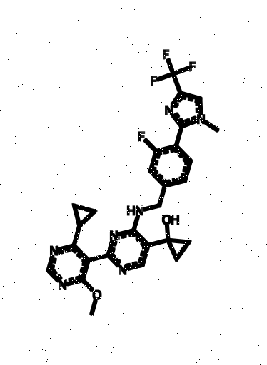 COc1ncnc(C2CC2)c1-c1ncc(C2(O)CC2)c(NCc2ccc(-c3nc(C(F)(F)F)cn3C)c(F)c2)n1